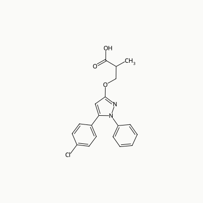 CC(COc1cc(-c2ccc(Cl)cc2)n(-c2ccccc2)n1)C(=O)O